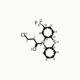 O=C(CCCl)N1c2ccccc2Sc2ccc(C(F)(F)F)cc21